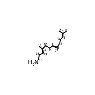 CC(C)=CCCC(C)=CCCC(C)=CCCN